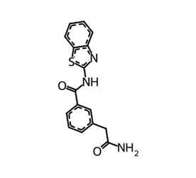 NC(=O)Cc1cccc(C(=O)Nc2nc3ccccc3s2)c1